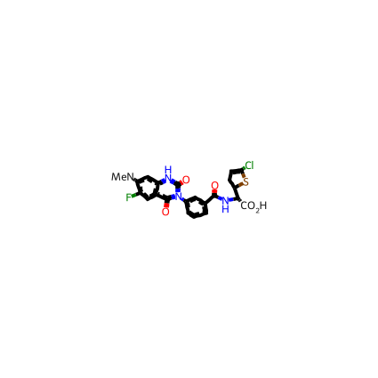 CNc1cc2[nH]c(=O)n(-c3cccc(C(=O)NC(C(=O)O)C4CC=C(Cl)S4)c3)c(=O)c2cc1F